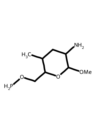 COC1OC(COP)C(C)CC1N